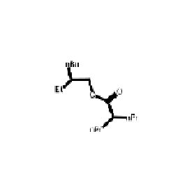 CCCCC(CC)COC(=O)C(CCC)CCC